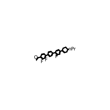 CCCC1CC=C(c2ccc(-c3ccc(-c4ccc(C5CO5)c(F)c4F)cc3)c(F)c2)CC1